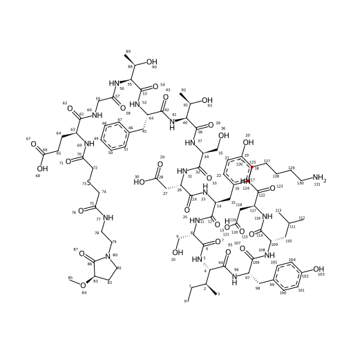 CC[C@H](C)[C@H](NC(=O)[C@H](CO)NC(=O)[C@H](Cc1ccc(O)cc1)NC(=O)[C@H](CC(=O)O)NC(=O)[C@H](CO)NC(=O)[C@@H](NC(=O)[C@H](Cc1ccccc1)NC(=O)[C@@H](NC(=O)CNC(=O)[C@H](CCC(=O)O)NC(=O)CSCC(=O)NCCN1CC[C@@H](OC)C1=O)[C@@H](C)O)[C@@H](C)O)C(=O)N[C@@H](Cc1ccc(O)cc1)C(=O)N[C@@H](CC(C)C)C(=O)N[C@@H](CC(=O)O)C(=O)N[C@H](C)CCCCN